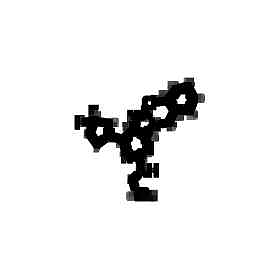 CC(C)(C)CNc1nc(N2CCC(F)(F)C2)c2nnn(Cc3ccccc3Cl)c2n1